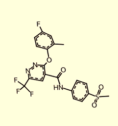 Cc1cc(F)ccc1Oc1nnc(C(F)(F)F)cc1C(=O)Nc1ccc(S(C)(=O)=O)cc1